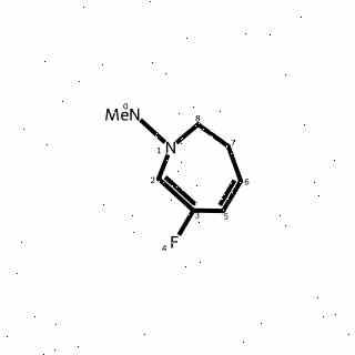 CNN1C=C(F)C=CCC1